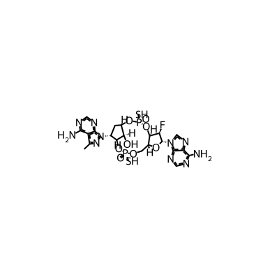 Cc1nn([C@@H]2C[C@@H]3OP(=O)(S)O[C@H]4[C@@H](F)[C@H](n5cnc6c(N)ncnc65)O[C@@H]4COP(=O)(S)O[C@@H]2[C@@H]3O)c2ncnc(N)c12